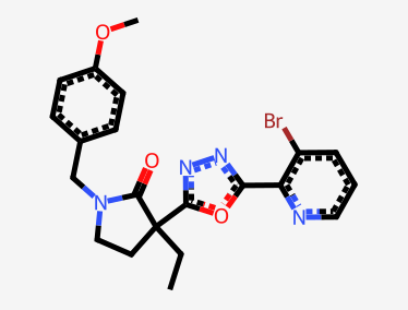 CCC1(c2nnc(-c3ncccc3Br)o2)CCN(Cc2ccc(OC)cc2)C1=O